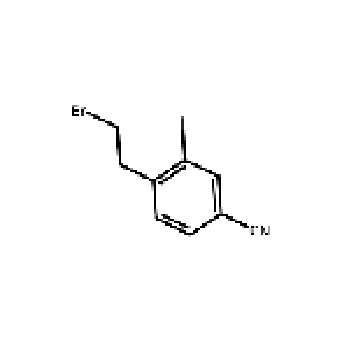 N#Cc1ccc(CCBr)c(I)c1